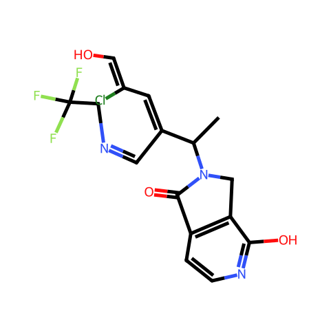 CC(C(/C=N\CC(F)(F)F)=C/C(Cl)=C/O)N1Cc2c(ccnc2O)C1=O